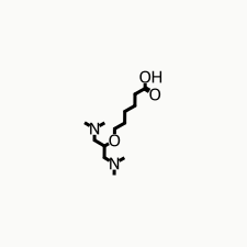 CN(C)CC(CN(C)C)OCCCCCC(=O)O